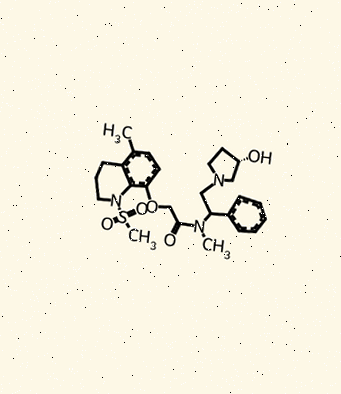 Cc1ccc(OCC(=O)N(C)C(CN2CC[C@H](O)C2)c2ccccc2)c2c1CCCN2S(C)(=O)=O